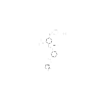 Cc1c[nH]nc1CC(C)c1cccc(N2Cc3c(cc(C(=O)N4CC[C@H](O)C4)cc3C(F)(F)F)C2=O)c1